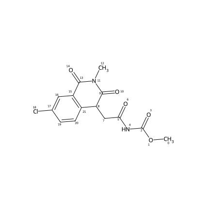 COC(=O)NC(=O)CC1C(=O)N(C)C(=O)c2cc(Cl)ccc21